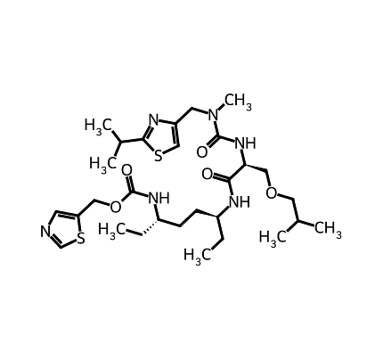 CC[C@@H](CC[C@H](CC)NC(=O)[C@H](COCC(C)C)NC(=O)N(C)Cc1csc(C(C)C)n1)NC(=O)OCc1cncs1